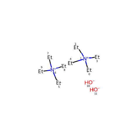 CC[N+](CC)(CC)CC.CC[N+](CC)(CC)CC.[OH-].[OH-]